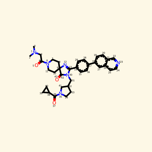 CN(C)CC(=O)N1CCC2(CC1)N=C(c1ccc(-c3ccc4cnccc4c3)cc1)N(CC1CCN(C(=O)C3CC3)C1)C2=O